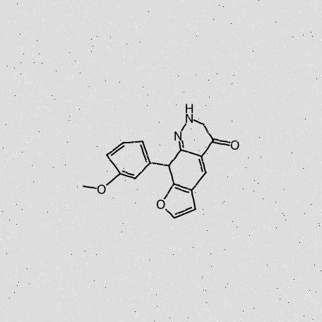 COc1cccc(C2C3=NNCC(=O)C3=Cc3ccoc32)c1